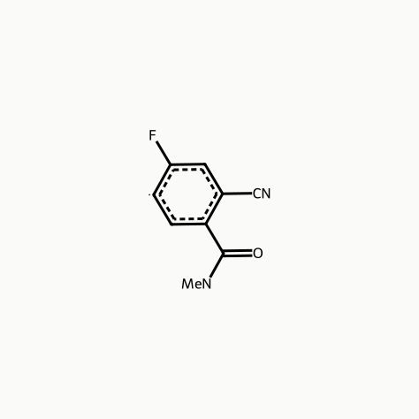 CNC(=O)c1c[c]c(F)cc1C#N